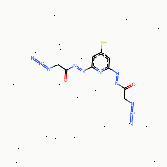 [N-]=[N+]=NCC(=O)N=Nc1cc(S)cc(N=NC(=O)CN=[N+]=[N-])n1